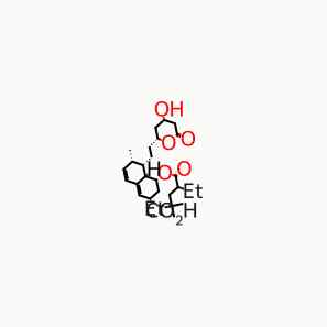 CCC(CC(C)(C)CC)C(=O)O[C@H]1C[C@H](C(=O)O)C=C2C=C[C@H](C)[C@H](CC[C@@H]3C[C@@H](O)CC(=O)O3)[C@H]21